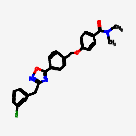 CN(C)C(=O)c1ccc(OCc2ccc(-c3nc(Cc4cccc(Cl)c4)no3)cc2)cc1